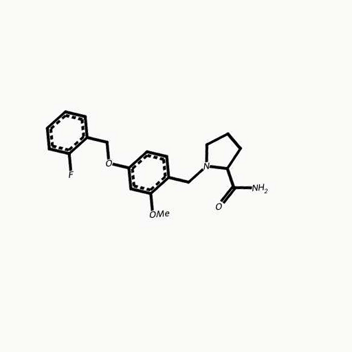 COc1cc(OCc2ccccc2F)ccc1CN1CCCC1C(N)=O